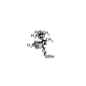 COCCOCCn1nc(C)c(B2OC(C)(C)C(C)(C)O2)c1CO[Si](C)(C)C(C)(C)C